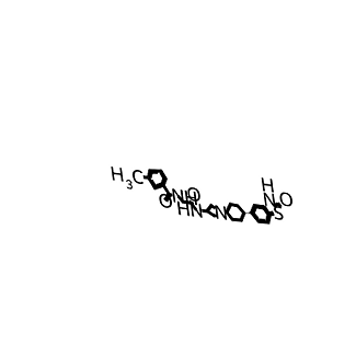 Cc1cccc(C(=O)NCC(=O)NC2CN([C@H]3CC[C@@H](c4ccc5sc(=O)[nH]c5c4)CC3)C2)c1